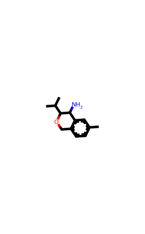 Cc1ccc2c(c1)C(N)C(C(C)C)OC2